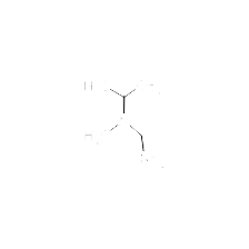 CC(C)N(C)CN